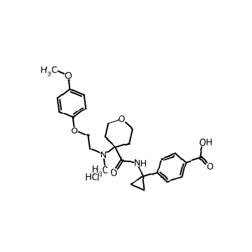 COc1ccc(OCCN(C)C2(C(=O)NC3(c4ccc(C(=O)O)cc4)CC3)CCOCC2)cc1.Cl